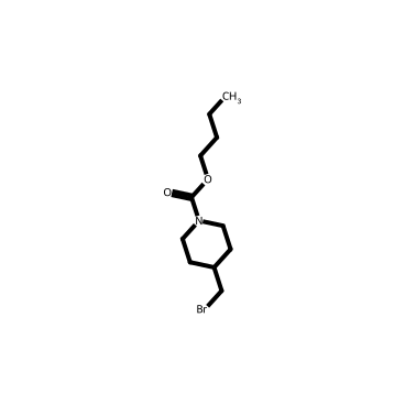 CCCCOC(=O)N1CCC(CBr)CC1